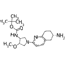 COC1CN(c2ccc3c(n2)CC[C@H](N)C3)CC1NC(=O)OC(C)(C)C